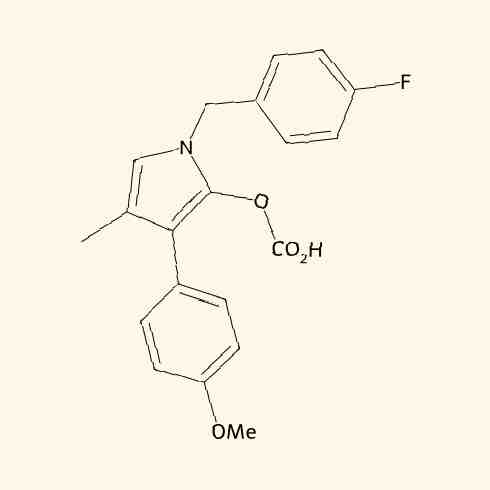 COc1ccc(-c2c(C)cn(Cc3ccc(F)cc3)c2OC(=O)O)cc1